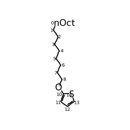 CCCCCCCCCCCCCCCCOc1cccs1